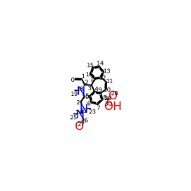 C=CC(C1c2ccccc2C=Cc2ccccc21)N(C)CCN(C)N(C)C=O.O=CO